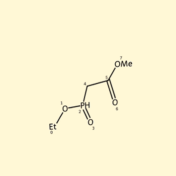 CCO[PH](=O)CC(=O)OC